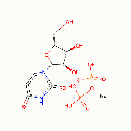 O=P([O-])(O)OP(=O)(O)O.O=c1ccn([C@@H]2O[C@H](CO)[C@@H](O)[C@H]2O)c(=O)[nH]1.[Na+]